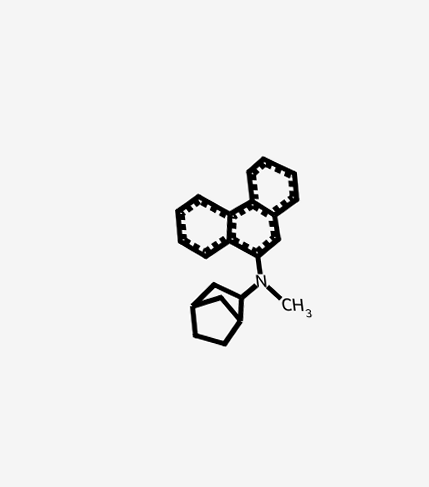 CN(c1cc2ccccc2c2ccccc12)C1CC2CCC1C2